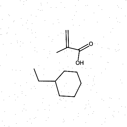 C=C(C)C(=O)O.CCC1CCCCC1